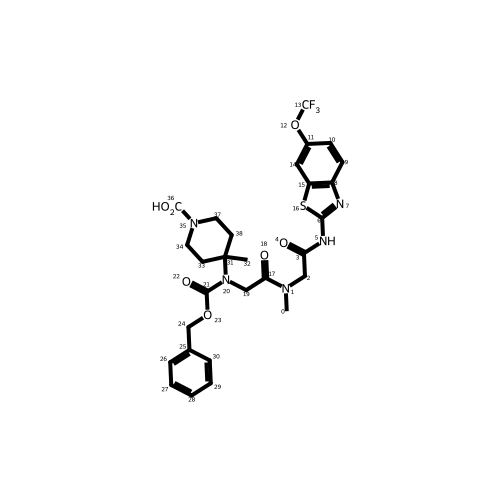 CN(CC(=O)Nc1nc2ccc(OC(F)(F)F)cc2s1)C(=O)CN(C(=O)OCc1ccccc1)C1(C)CCN(C(=O)O)CC1